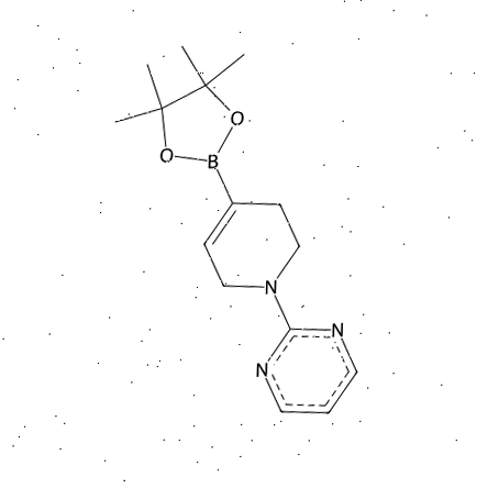 CC1(C)OB(C2=CCN(c3ncccn3)CC2)OC1(C)C